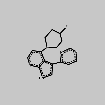 FC1CCN(c2ccnc3[nH]cc(-c4ccncn4)c23)CC1